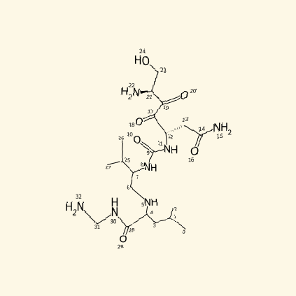 CC(C)CC(NCC(NC(=O)N[C@@H](CC(N)=O)C(=O)C(=O)[C@@H](N)CO)C(C)C)C(=O)NCN